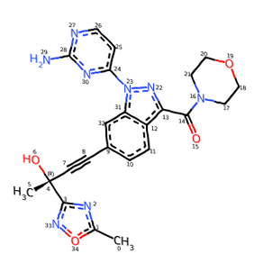 Cc1nc([C@](C)(O)C#Cc2ccc3c(C(=O)N4CCOCC4)nn(-c4ccnc(N)n4)c3c2)no1